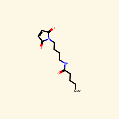 CNCCCC(=O)NCCCCN1C(=O)C=CC1=O